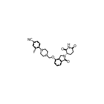 N#Cc1ccc(N2CCN(COc3cccc4c3CN([C@H]3CCC(=O)NC3=O)C4=O)CC2)c(F)c1